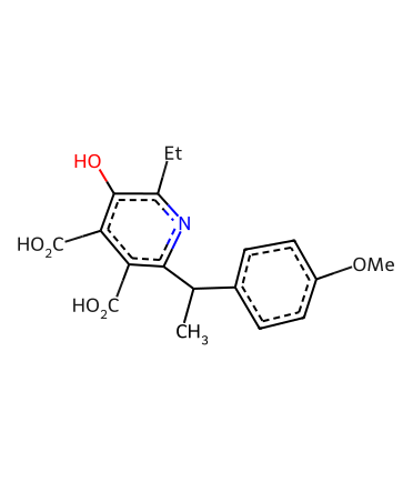 CCc1nc(C(C)c2ccc(OC)cc2)c(C(=O)O)c(C(=O)O)c1O